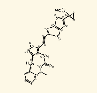 Cc1ccccc1C(C)OC(=O)Nc1c(N)noc1C#Cc1cc2sc(C3(C(=O)O)CC3)cc2s1